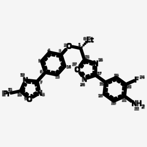 CC[C@@H](Oc1ccc(-c2noc(C(C)C)n2)cc1)c1nc(-c2ccc(N)c(F)c2)no1